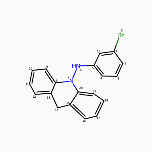 Brc1cccc(NN2c3ccccc3Cc3ccccc32)c1